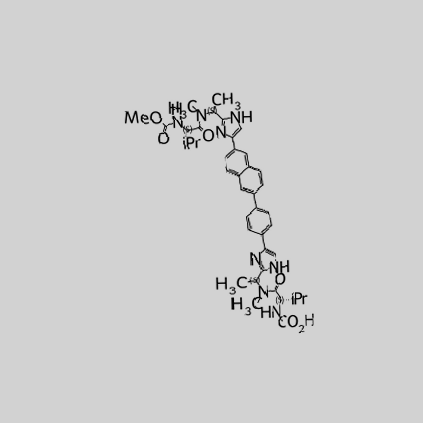 COC(=O)N[C@H](C(=O)N(C)[C@@H](C)c1nc(-c2ccc3cc(-c4ccc(-c5c[nH]c([C@H](C)N(C)C(=O)[C@@H](NC(=O)O)C(C)C)n5)cc4)ccc3c2)c[nH]1)C(C)C